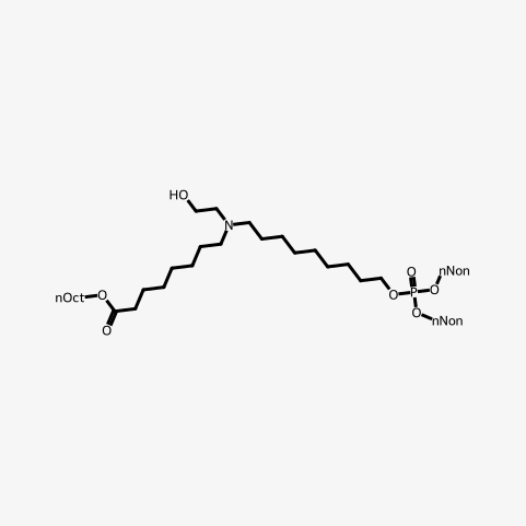 CCCCCCCCCOP(=O)(OCCCCCCCCC)OCCCCCCCCCN(CCO)CCCCCCCC(=O)OCCCCCCCC